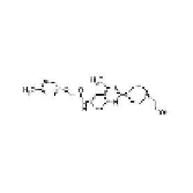 Cc1ccc(OCC(=O)Nc2ccc3nc(N4CCCN(CCO)CC4)cc(C)c3c2)cc1